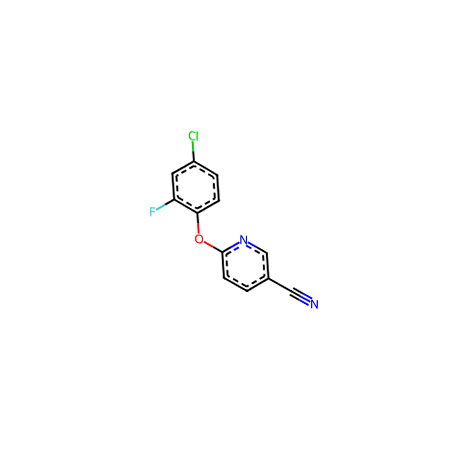 N#Cc1ccc(Oc2ccc(Cl)cc2F)nc1